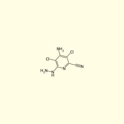 N#Cc1nc(NN)c(Cl)c(N)c1Cl